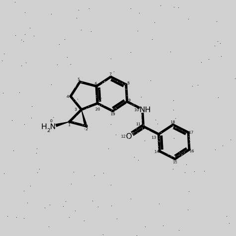 N[C@@H]1C[C@]12CCc1ccc(NC(=O)c3ccccc3)cc12